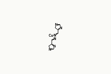 C1=NCC(C=NN=CC2=NC=NC2)=N1.[Cu]